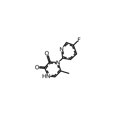 Cc1c[nH]c(=O)c(=O)n1-c1ccc(F)cn1